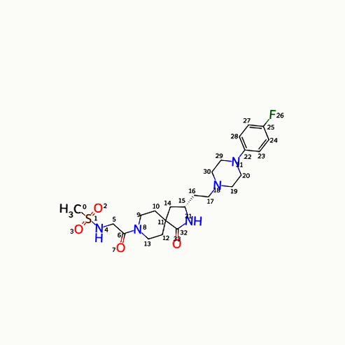 CS(=O)(=O)NCC(=O)N1CCC2(CC1)C[C@H](CCN1CCN(c3ccc(F)cc3)CC1)NC2=O